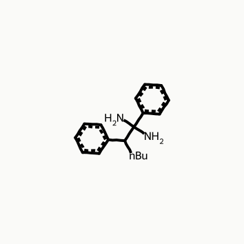 CCCCC(c1ccccc1)C(N)(N)c1ccccc1